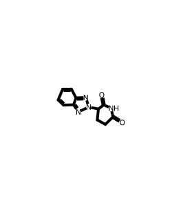 O=C1CCC(n2nc3ccccc3n2)C(=O)N1